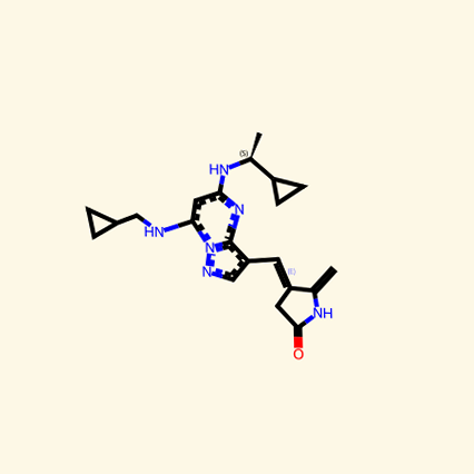 C=C1NC(=O)C/C1=C\c1cnn2c(NCC3CC3)cc(N[C@@H](C)C3CC3)nc12